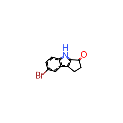 O=C1CCc2c1[nH]c1ccc(Br)cc21